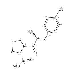 COC(=O)[C@@H]1CCCN1C(=O)[C@@H](N)Cc1ccc(C#N)cc1